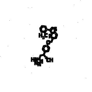 C#C[C@@H](Cc1nnn[nH]1)c1ccc(OCc2ccc3scc(-c4ccccc4C)c3n2)cc1